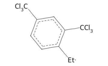 C[CH]c1ccc(C(Cl)(Cl)Cl)cc1C(Cl)(Cl)Cl